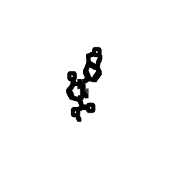 COC(=O)c1ccc(=O)n(-c2ccc3c(c2)COC3)n1